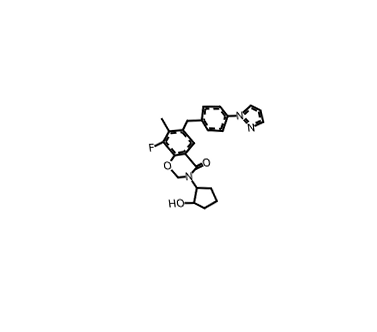 Cc1c(Cc2ccc(-n3cccn3)cc2)cc2c(c1F)OCN(C1CCCC1O)C2=O